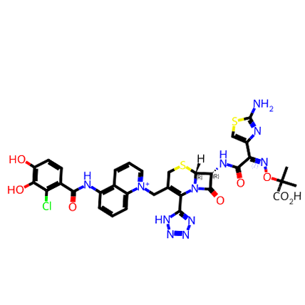 CC(C)(O/N=C(\C(=O)N[C@@H]1C(=O)N2C(c3nnn[nH]3)=C(C[n+]3cccc4c(NC(=O)c5ccc(O)c(O)c5Cl)cccc43)CS[C@H]12)c1csc(N)n1)C(=O)O